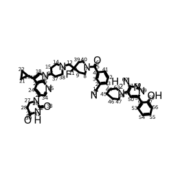 N#Cc1cc(C(=O)N2CCC(F)(CN3CCC(n4cc(C5CC5)c5cc(N6CCC(=O)NC6=O)cnc54)CC3)CC2)ccc1[C@H]1CCCN(c2cc(-c3ccccc3O)nnc2N)C1